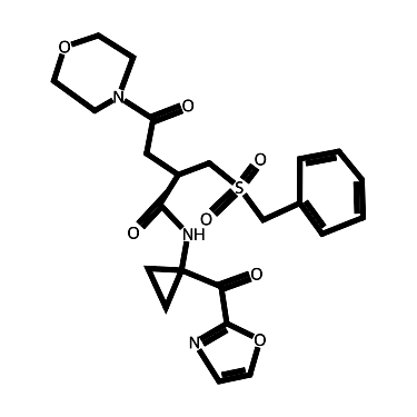 O=C(NC1(C(=O)c2ncco2)CC1)C(CC(=O)N1CCOCC1)CS(=O)(=O)Cc1ccccc1